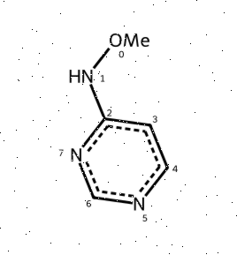 CONc1ccncn1